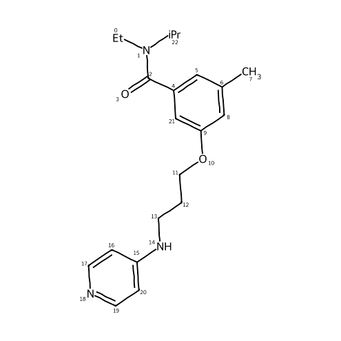 CCN(C(=O)c1cc(C)cc(OCCCNc2ccncc2)c1)C(C)C